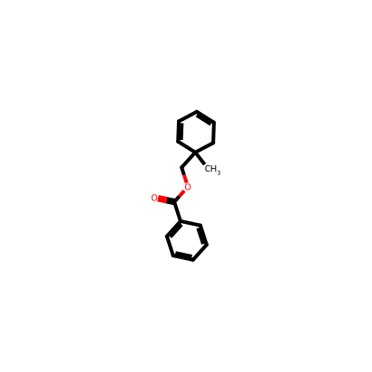 CC1(COC(=O)c2ccccc2)C=CC=CC1